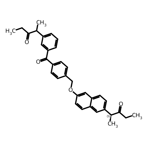 CCC(=O)C(C)c1cccc(C(=O)c2ccc(COc3ccc4cc([C@H](C)C(=O)CC)ccc4c3)cc2)c1